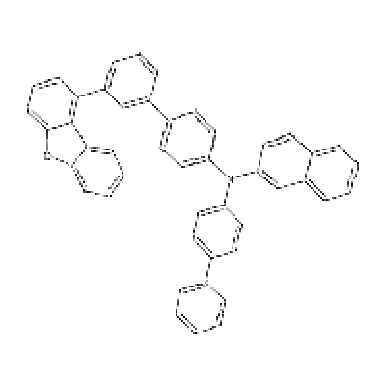 c1ccc(-c2ccc(N(c3ccc(-c4cccc(-c5cccc6oc7ccccc7c56)c4)cc3)c3ccc4ccccc4c3)cc2)cc1